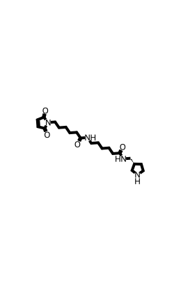 O=C(CCCCCN1C(=O)C=CC1=O)NCCCCCC(=O)NC[C@@H]1CCNC1